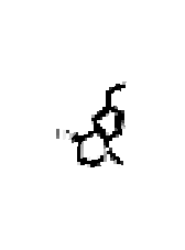 CCc1ccc2c(c1)C(=N)CCN2C